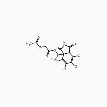 CC(=O)OCC(=O)OC(C)C12C(=O)NC(=O)C1C(Cl)=C(Cl)C(Cl)=C2Cl